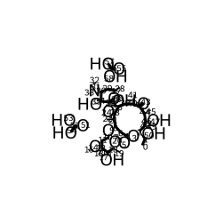 CC[C@H]1OC(=O)[C@H](C)[C@@H](O[C@H]2C[C@@](C)(OC)[C@@H](O)[C@H](C)O2)[C@@H](C)[C@@H](O[C@@H]2O[C@H](C)C[C@H](N(C)C)[C@H]2O)[C@](C)(O)C[C@@H](C)C(=O)[C@H](C)[C@H](O)[C@]1(C)O.O=C(O)O.O=C(O)O